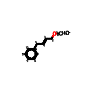 O=[C]OC/C=C/Cc1ccccc1